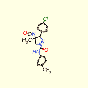 CC1(N=C=O)CN(C(=O)Nc2ccc(C(F)(F)F)cc2)N=C1c1ccc(Cl)cc1